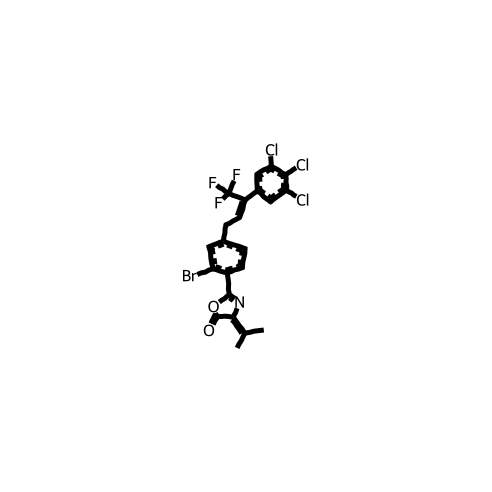 CC(C)=C1N=C(c2ccc(CC=C(c3cc(Cl)c(Cl)c(Cl)c3)C(F)(F)F)cc2Br)OC1=O